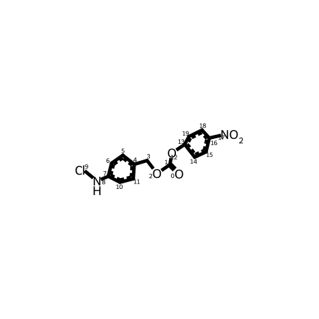 O=C(OCc1ccc(NCl)cc1)Oc1ccc([N+](=O)[O-])cc1